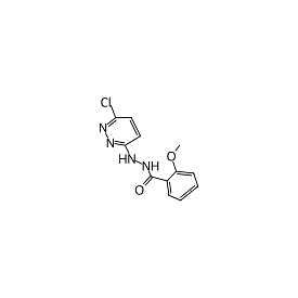 COc1ccccc1C(=O)NNc1ccc(Cl)nn1